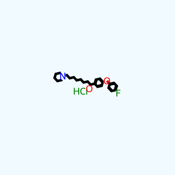 Cl.O=C(CCCCCCCN1CCCCC1)c1ccc(Oc2ccc(F)cc2)cc1